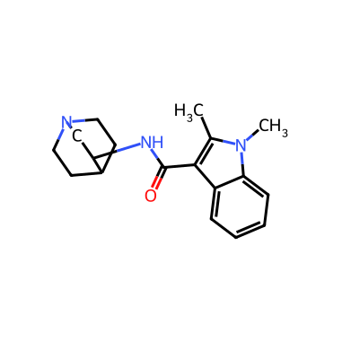 Cc1c(C(=O)NC2CN3CCC2CC3)c2ccccc2n1C